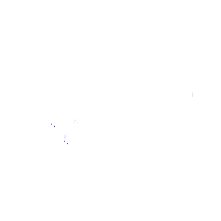 Cc1cc(OCCCC2CCN(c3noc(C(C)(C)F)n3)CC2)ccc1C(=O)O